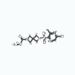 Cc1nc(Cl)cnc1S(=O)(=O)N1CC2(CN(C(=O)OC(C)(C)C)C2)C1